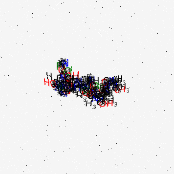 CC1=CC(OCc2ncccc2F)=C(Cl)C(O)N1c1cc(-c2nc(C(C)(C)O)nc(-c3cccnc3COc3cc(C)n(-c4cc(-c5nc(C(C)(C)O)nc(-c6cccnc6COc6cc(C)n(-c7cc(-c8nc(C(C)(C)O)cc(-c9cccnc9COc9cc(C)n(-c%10cc(-c%11nc(C(C)(C)O)ccc%11C)ncc%10C)c(=O)c9Br)c8C)ncc7C)c(=O)c6Cl)c5C)ncc4C)c(=O)c3Br)c2C)ncc1C